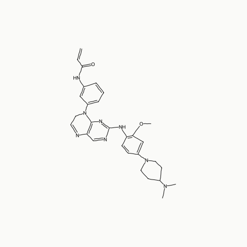 C=CC(=O)Nc1cccc(N2CC=Nc3cnc(Nc4ccc(N5CCC(N(C)C)CC5)cc4OC)nc32)c1